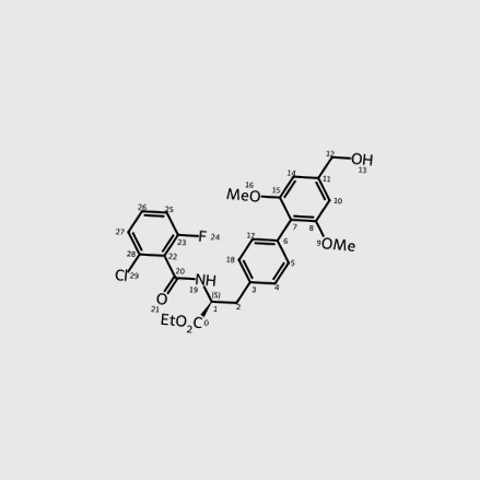 CCOC(=O)[C@H](Cc1ccc(-c2c(OC)cc(CO)cc2OC)cc1)NC(=O)c1c(F)cccc1Cl